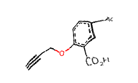 C#CCOc1ccc(C(C)=O)cc1C(=O)O